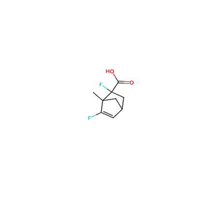 CC12CC(C=C1F)CC2(F)C(=O)O